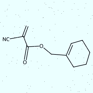 C=C(C#N)C(=O)OCC1=CCCCC1